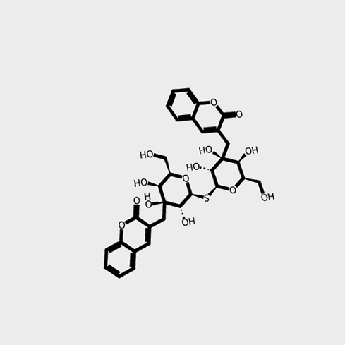 O=c1oc2ccccc2cc1C[C@]1(O)[C@@H](O)[C@@H](CO)O[C@@H](S[C@@H]2O[C@H](CO)[C@H](O)[C@@](O)(Cc3cc4ccccc4oc3=O)[C@H]2O)[C@@H]1O